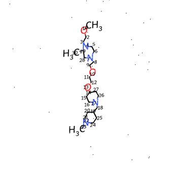 COCCN1CCN(CCOCCOC2CCN(CC3CCN(C)CC3)CC2)C[C@H]1C